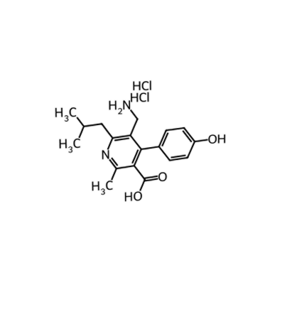 Cc1nc(CC(C)C)c(CN)c(-c2ccc(O)cc2)c1C(=O)O.Cl.Cl